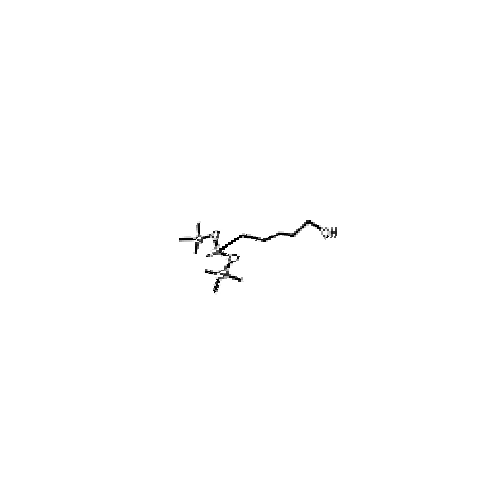 C[Si](C)(C)O[Si](C)(CCCCCO)O[Si](C)(C)C